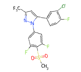 CS(=O)(=O)c1c(F)cc(-n2nc(C(F)(F)F)cc2-c2ccc(F)c(Cl)c2)cc1F